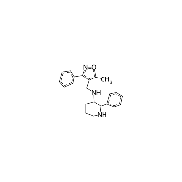 Cc1onc(-c2ccccc2)c1CNC1CCCNC1c1ccccc1